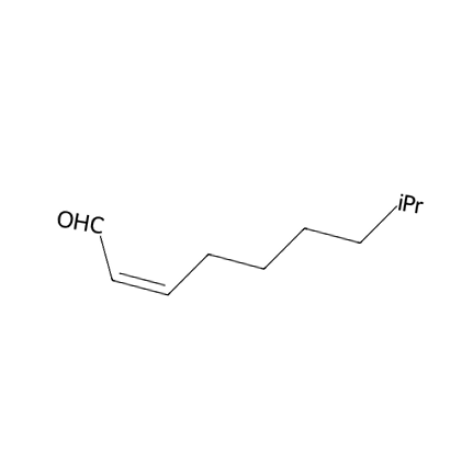 CC(C)CCCC/C=C\C=O